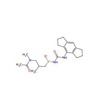 CC(=O)N(C)CC(C)C[S+]([O-])NC(=O)Nc1c2c(cc3c1CCC3)CCC2